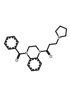 O=C(CCN1CCCC1)N1CCN(C(=O)c2ccccc2)c2ccccc21